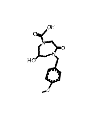 COc1ccc(CN2CC(O)CN(C(=O)O)CC2=O)cc1